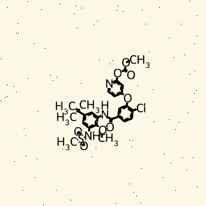 COC(=O)Oc1cc(Oc2cc(C(=O)Nc3cc(C(C)(C)C)cc(NS(C)(=O)=O)c3OC)ccc2Cl)ccn1